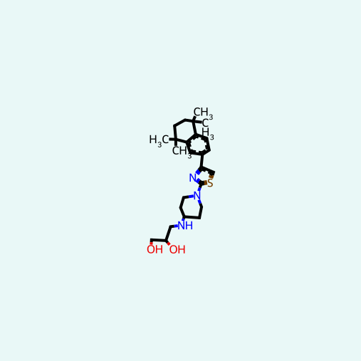 CC1(C)CCC(C)(C)c2cc(-c3csc(N4CCC(NCC(O)CO)CC4)n3)ccc21